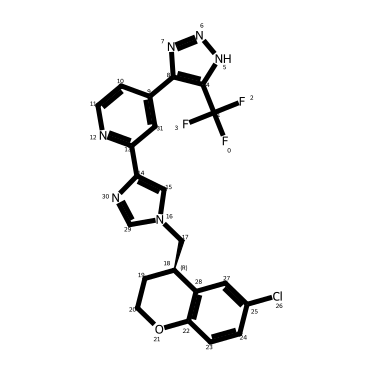 FC(F)(F)c1[nH]nnc1-c1ccnc(-c2cn(C[C@@H]3CCOc4ccc(Cl)cc43)cn2)c1